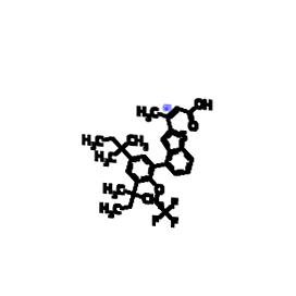 CCC(C)(C)c1cc(-c2cccc3sc(/C(C)=C\C(=O)O)cc23)c(OCC(F)(F)F)c(C(C)(C)CC)c1